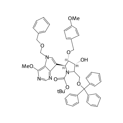 COc1ccc(CO[C@@H]2[C@H](O)C(COC(c3ccccc3)(c3ccccc3)c3ccccc3)N(C(=O)OC(C)(C)C)[C@H]2c2cn(COCc3ccccc3)c3c(OC)ncnc23)cc1